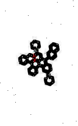 C1=CCC(c2cccc3ccccc23)C(c2c3cc(N4CCCCC4)ccc3c(-c3ccc4ccccc4c3)c3cc(N4CCCCC4)ccc23)=C1